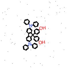 Oc1ccc(C2(c3ccc(O)cc3)c3cc(N(c4ccccc4)c4ccccc4)ccc3-c3ccc(N(c4ccccc4)c4ccccc4)cc32)cc1